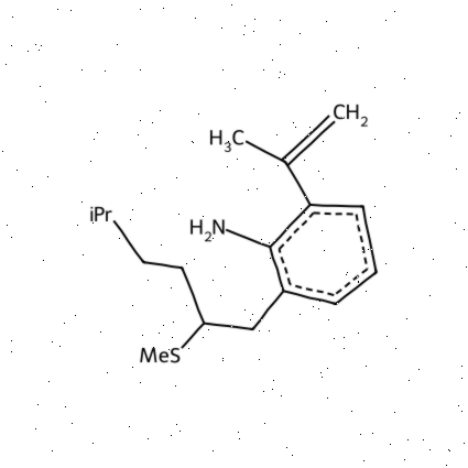 C=C(C)c1cccc(CC(CCC(C)C)SC)c1N